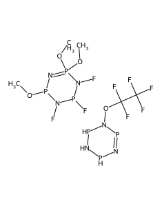 COP1N=P(OC)(OC)N(F)P(F)N1F.FC(F)(F)C(F)(F)On1pn[pH][nH][pH]1